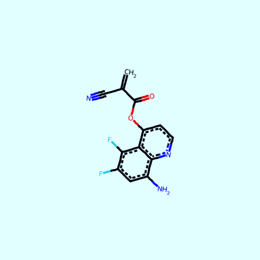 C=C(C#N)C(=O)Oc1ccnc2c(N)cc(F)c(F)c12